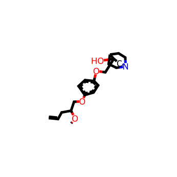 C=CCC(COc1ccc(OCC2(O)CN3CCC2CC3)cc1)OC